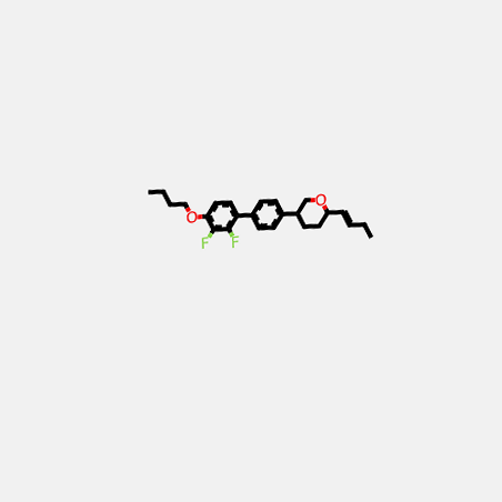 CC/C=C/C1CCC(c2ccc(-c3ccc(OCCCC)c(F)c3F)cc2)CO1